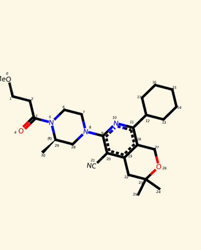 COCCC(=O)N1CCN(c2nc(C3CCCCC3)c3c(c2C#N)CC(C)(C)OC3)C[C@H]1C